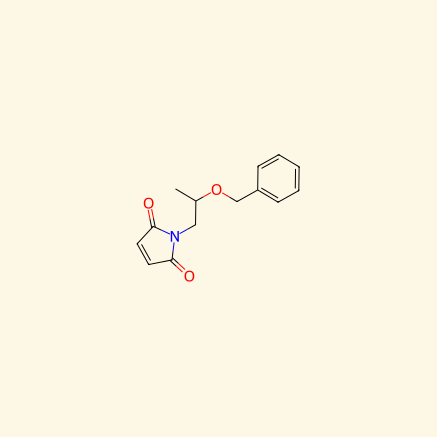 CC(CN1C(=O)C=CC1=O)OCc1ccccc1